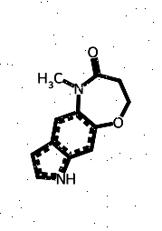 CN1C(=O)CCOc2cc3[nH]ccc3cc21